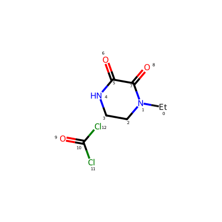 CCN1CCNC(=O)C1=O.O=C(Cl)Cl